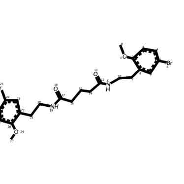 COc1ccc(Br)cc1CCNC(=O)CCCC(=O)NCCc1cc(Br)ccc1OC